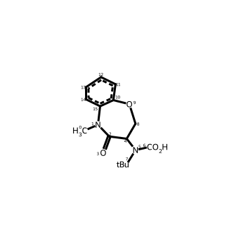 CN1C(=O)C(N(C(=O)O)C(C)(C)C)COc2ccccc21